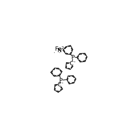 [Fe+2].[N].c1ccc(P(c2ccccc2)[c-]2cccc2)cc1.c1ccc(P(c2ccccc2)[c-]2cccc2)cc1